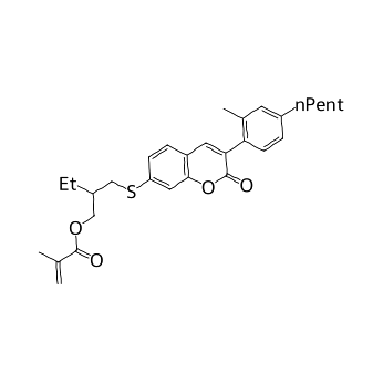 C=C(C)C(=O)OCC(CC)CSc1ccc2cc(-c3ccc(CCCCC)cc3C)c(=O)oc2c1